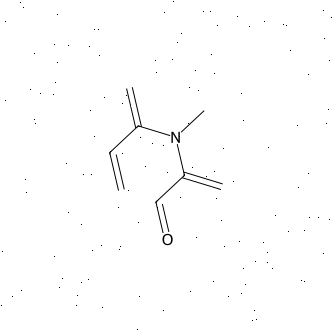 C=CC(=C)N(C)C(=C)C=O